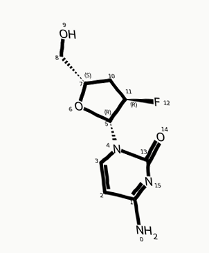 Nc1ccn([C@@H]2O[C@H](CO)C[C@H]2F)c(=O)n1